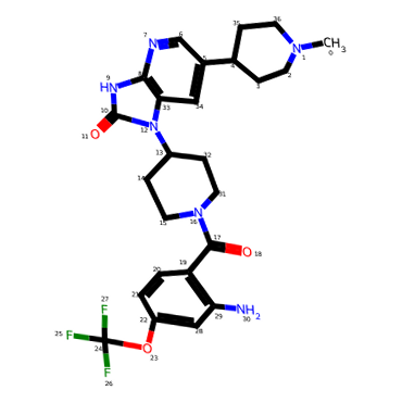 CN1CCC(c2cnc3[nH]c(=O)n(C4CCN(C(=O)c5ccc(OC(F)(F)F)cc5N)CC4)c3c2)CC1